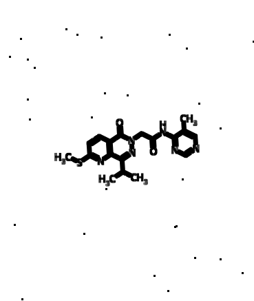 CSc1ccc2c(=O)n(CC(=O)Nc3ncncc3C)nc(C(C)C)c2n1